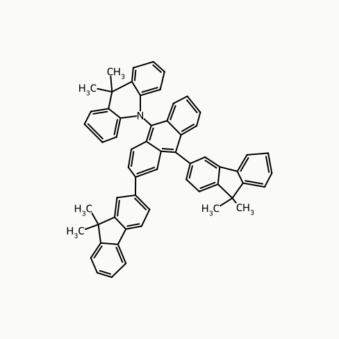 CC1(C)c2ccccc2-c2cc(-c3c4ccccc4c(N4c5ccccc5C(C)(C)c5ccccc54)c4ccc(-c5ccc6c(c5)C(C)(C)c5ccccc5-6)cc34)ccc21